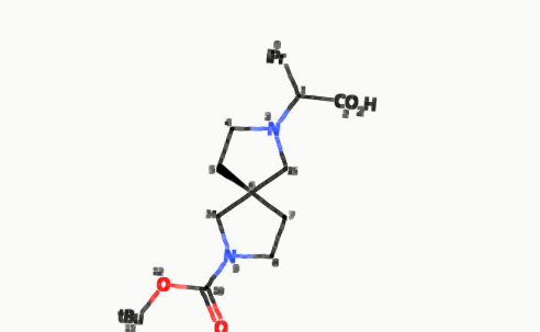 CC(C)C(C(=O)O)N1CC[C@]2(CCN(C(=O)OC(C)(C)C)C2)C1